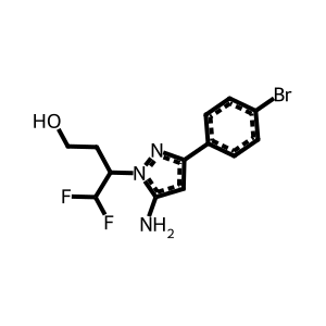 Nc1cc(-c2ccc(Br)cc2)nn1C(CCO)C(F)F